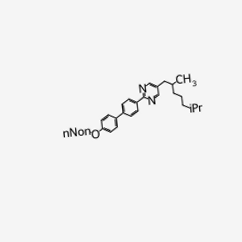 CCCCCCCCCOc1ccc(-c2ccc(-c3ncc(CC(C)CCCC(C)C)cn3)cc2)cc1